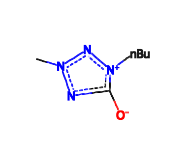 CCCC[n+]1nn(C)nc1[O-]